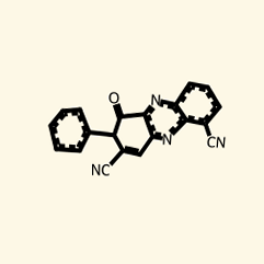 N#CC1=Cc2nc3c(C#N)cccc3nc2C(=O)C1c1ccccc1